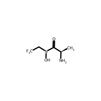 C[C@@H](N)C(=O)N(O)CC(F)(F)F